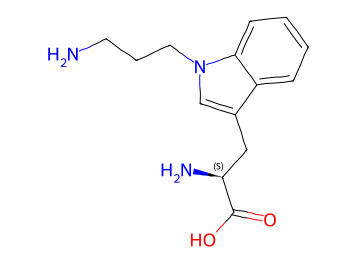 NCCCn1cc(C[C@H](N)C(=O)O)c2ccccc21